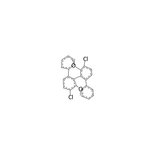 COc1c(Cl)ccc(-c2ccccc2)c1-c1c(-c2ccccc2)ccc(Cl)c1OC